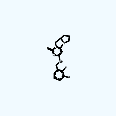 O=c1nc(NCc2cccc(F)c2F)cc2n1CC1CCCN21